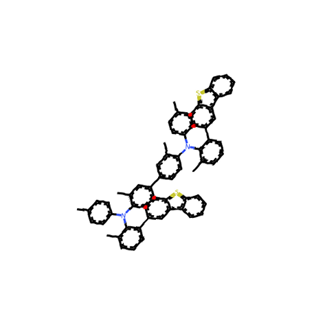 Cc1ccc(N(c2ccc(-c3ccc(N(c4ccc(C)cc4)c4c(C)cccc4-c4ccc5sc6ccccc6c5c4)c(C)c3)cc2C)c2c(C)cccc2-c2ccc3sc4ccccc4c3c2)cc1